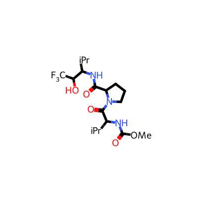 COC(=O)NC(C(=O)N1CCCC1C(=O)NC(C(C)C)C(O)C(F)(F)F)C(C)C